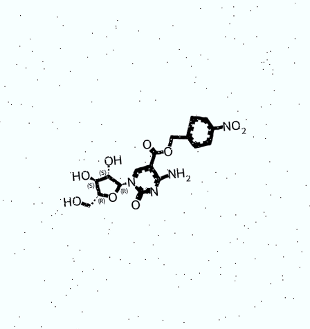 Nc1nc(=O)n([C@@H]2O[C@H](CO)[C@@H](O)[C@@H]2O)cc1C(=O)OCc1ccc([N+](=O)[O-])cc1